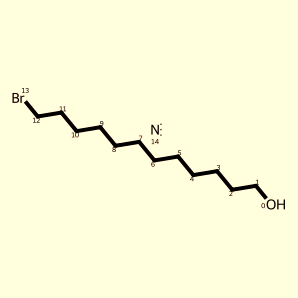 OCCCCCCCCCCCCBr.[N]